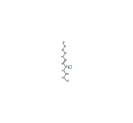 CCCCC/C=C/C(Cl)CCCC